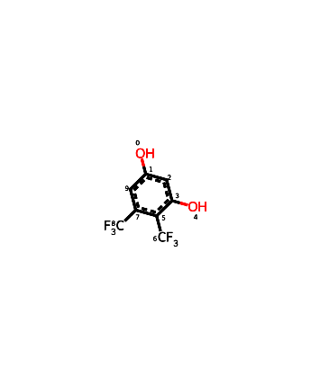 Oc1cc(O)c(C(F)(F)F)c(C(F)(F)F)c1